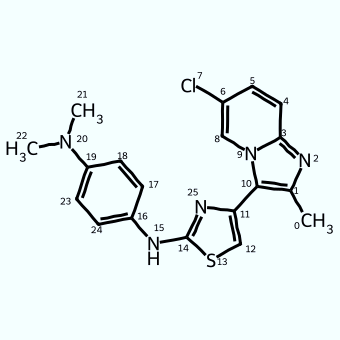 Cc1nc2ccc(Cl)cn2c1-c1csc(Nc2ccc(N(C)C)cc2)n1